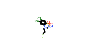 O=S1(=O)NCN(CCCF)c2cc(Cl)c(Cl)cc21